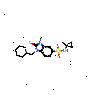 Cn1c(=O)n(CC2CCCCC2)c2ccc(S(=O)(=O)NC3(C)CC3)cc21